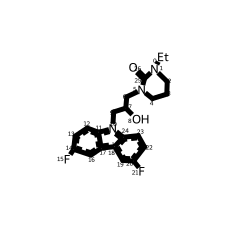 CCN1CCCN(CC(O)Cn2c3ccc(F)cc3c3cc(F)ccc32)C1=O